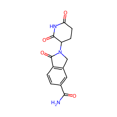 NC(=O)c1ccc2c(c1)CN(C1CCC(=O)NC1=O)C2=O